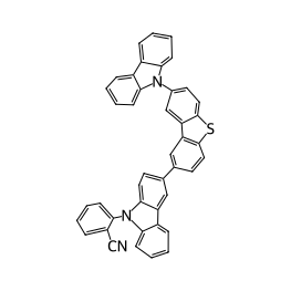 N#Cc1ccccc1-n1c2ccccc2c2cc(-c3ccc4sc5ccc(-n6c7ccccc7c7ccccc76)cc5c4c3)ccc21